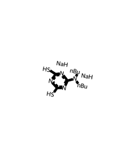 CCCCN(CCCC)c1nc(S)nc(S)n1.[NaH].[NaH]